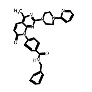 Cc1nc(N2CCN(c3ccccn3)CC2)nc2c1ccc(=O)n2-c1ccc(C(=O)NCc2ccccc2)cc1